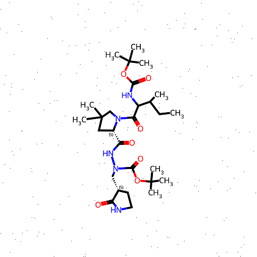 CCC(C)C(NC(=O)OC(C)(C)C)C(=O)N1CC(C)(C)C[C@H]1C(=O)NN(C[C@@H]1CCNC1=O)C(=O)OC(C)(C)C